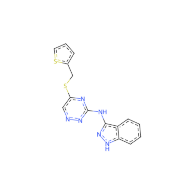 c1csc(CSc2cnnc(Nc3n[nH]c4ccccc34)n2)c1